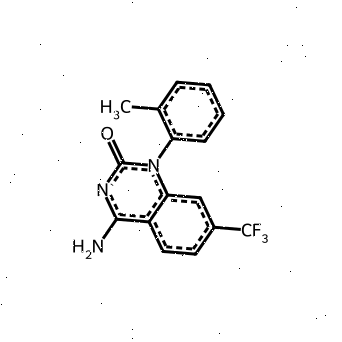 Cc1ccccc1-n1c(=O)nc(N)c2ccc(C(F)(F)F)cc21